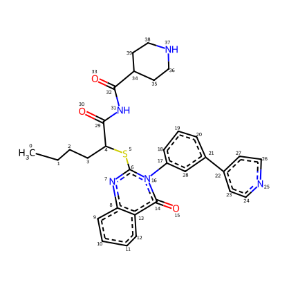 CCCCC(Sc1nc2ccccc2c(=O)n1-c1cccc(-c2ccncc2)c1)C(=O)NC(=O)C1CCNCC1